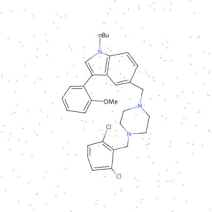 CCCCn1cc(-c2ccccc2OC)c2cc(CN3CCN(Cc4c(Cl)cccc4Cl)CC3)ccc21